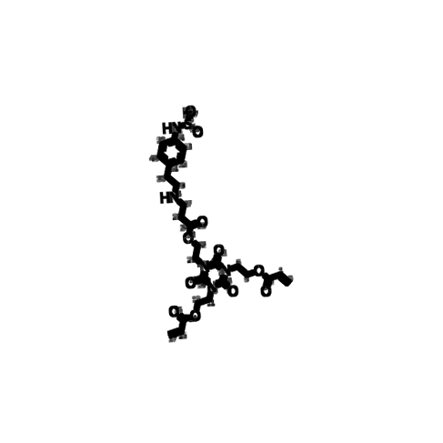 C=CC(=O)OCCn1c(=O)n(CCOC(=O)C=C)c(=O)n(CCOC(=O)CCNCCc2ccc(N[SH](=O)=O)cc2)c1=O